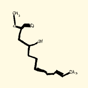 C/C=C/C=C\CCC(O)CC(=O)OC